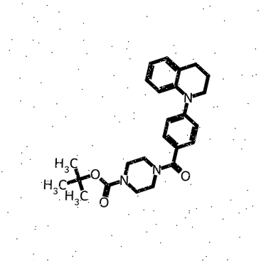 CC(C)(C)OC(=O)N1CCN(C(=O)c2ccc(N3CCCc4ccccc43)cc2)CC1